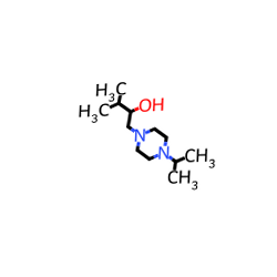 CC(C)C(O)CN1CCN(C(C)C)CC1